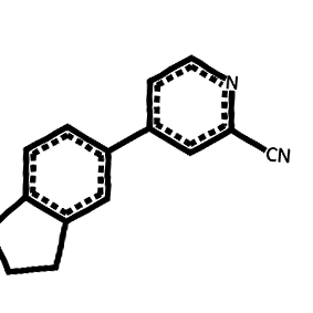 N#Cc1cc(-c2ccc3c(c2)CCC3)ccn1